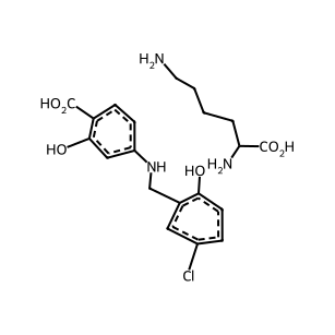 NCCCCC(N)C(=O)O.O=C(O)c1ccc(NCc2cc(Cl)ccc2O)cc1O